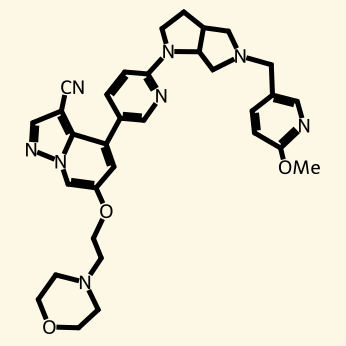 COc1ccc(CN2CC3CCN(c4ccc(-c5cc(OCCN6CCOCC6)cn6ncc(C#N)c56)cn4)C3C2)cn1